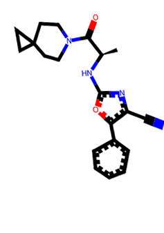 C[C@@H](Nc1nc(C#N)c(-c2ccccc2)o1)C(=O)N1CCC2(CC1)CC2